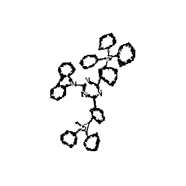 C[Si](c1ccccc1)(c1ccccc1)c1cccc(-c2nc(-c3cccc([Si](c4ccccc4)(c4ccccc4)c4ccccc4)c3)nc(-n3c4ccccc4c4ccccc43)n2)c1